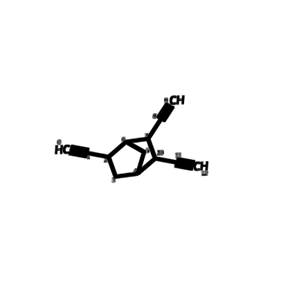 C#CC1CC2CC1C(C#C)C2C#C